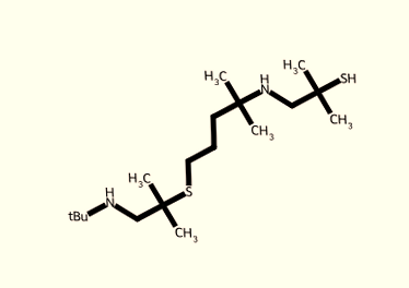 CC(C)(S)CNC(C)(C)CCCSC(C)(C)CNC(C)(C)C